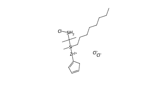 CCCCCCCC[Si](C)([Zr+2][C]1=CC=CC1)C(C)(C)[SiH2]Cl.[Cl-].[Cl-]